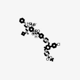 CN(CC[C@H](CSc1ccccc1)Nc1ccc(S(=O)(=O)NC(=O)c2ccc(N3CCN(CC4=C(c5ccc(Cl)cc5)CCC(C)(CN5CCN(C(=O)OC(C)(C)C)CC5)C4)CC3)cc2)cc1[N+](=O)[O-])C1CCC1